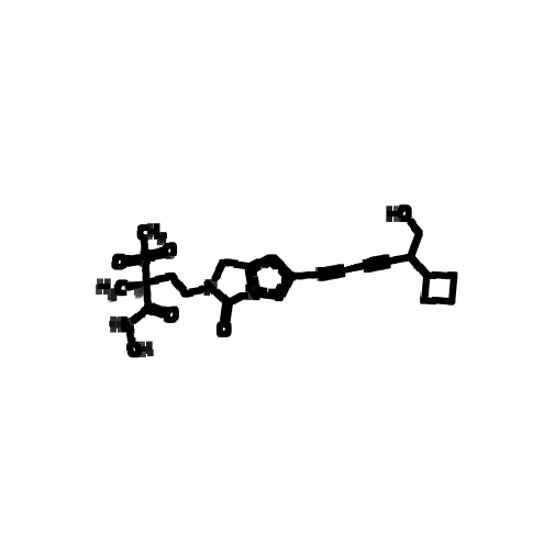 C[C@@](CCN1Cc2cc(C#CC#CC(CO)C3CCC3)cn2C1=O)(C(=O)NO)S(C)(=O)=O